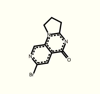 O=c1nc2n(c3cnc(Br)cc13)CCC2